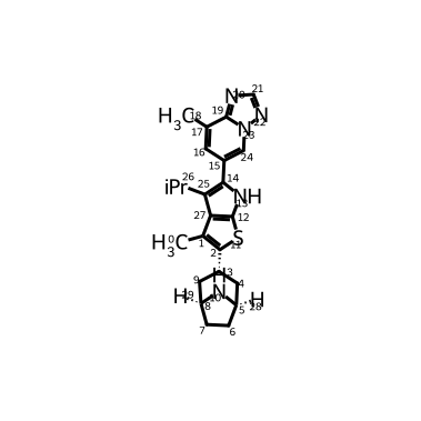 Cc1c([C@@H]2C[C@H]3CC[C@@H](C2)N3)sc2[nH]c(-c3cc(C)c4ncnn4c3)c(C(C)C)c12